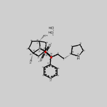 Cl.Cl.O=S(=O)(CCC[C@@H]1CCCN1)N1[C@@H]2CC[C@H]1C[C@@H](Oc1ccncc1)C2